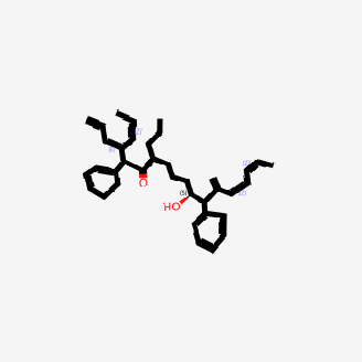 C=C/C=C(\C=C/C)C(C(=O)C(CCC)CCC[C@H](O)C(C(=C)/C=C\C=C/C)c1ccccc1)C1=CC=CCC1